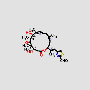 C/C(=C\c1csc(C=O)n1)C1C/C=C(/C(F)(F)F)C/C=C/[C@H](C)[C@H](O)[C@@H](C)C(=O)C(C)(C)[C@@H](O)CC(=O)O1